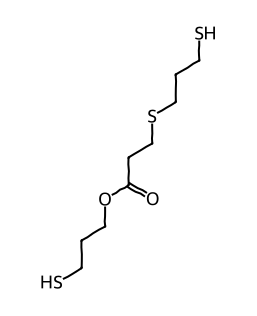 O=C(CCSCCCS)OCCCS